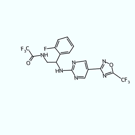 O=C(NCC(Nc1ncc(-c2noc(C(F)(F)F)n2)cn1)c1ccccc1F)C(F)(F)F